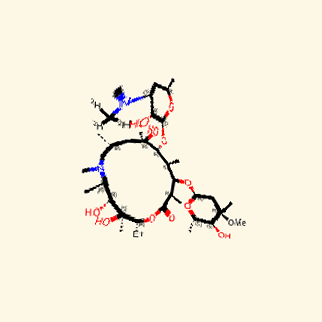 [2H]C([2H])([2H])N(C)[C@H]1C[C@@H](C)O[C@@H](O[C@@H]2[C@@H](C)C(O[C@H]3C[C@@](C)(OC)[C@@H](O)[C@H](C)O3)[C@@H](C)C(=O)O[C@H](CC)[C@@](C)(O)[C@H](O)[C@@H](C)N(C)C[C@H](C)C[C@@]2(C)O)[C@@H]1O